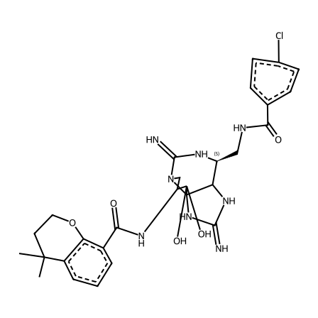 CC1(C)CCOc2c(C(=O)NC3CN4C(=N)N[C@@H](CNC(=O)c5ccc(Cl)cc5)C5NC(=N)NC54C3(O)O)cccc21